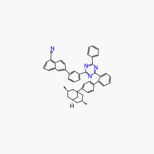 C[C@@H]1C[C@@H]2C[C@H](C)CC(c3ccc(-c4ccccc4-c4nc(-c5ccccc5)nc(-c5cccc(-c6ccc7c(C#N)cccc7c6)c5)n4)cc3)(C1)C2